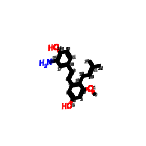 COc1cc(O)cc(C=Cc2ccc(O)c(N)c2)c1CC=C(C)C